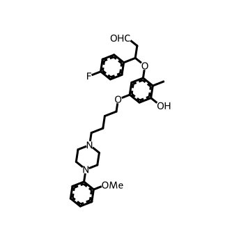 COc1ccccc1N1CCN(CCCCOc2cc(O)c(C)c(OC(CC=O)c3ccc(F)cc3)c2)CC1